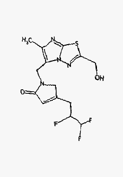 Cc1nc2sc(CO)nn2c1CN1CC(CC(F)C(F)F)=CC1=O